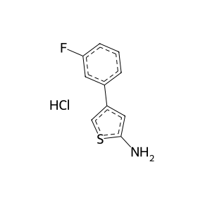 Cl.Nc1cc(-c2cccc(F)c2)cs1